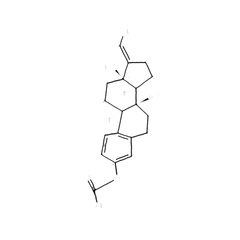 CC(=O)Oc1ccc2c(c1)CC[C@@H]1[C@@H]2CC[C@]2(C)C(=CCl)CC[C@@H]12